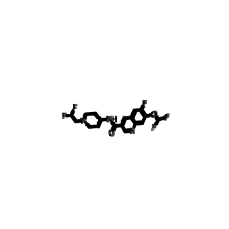 O=C(NC1CCN(CC(F)F)CC1)c1cnc2cc(OC(F)F)c(F)cc2c1